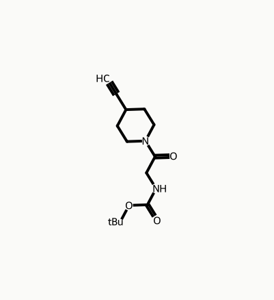 C#CC1CCN(C(=O)CNC(=O)OC(C)(C)C)CC1